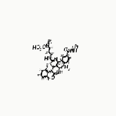 CCCNC(=O)c1ccc(C)c(-c2nc(NCCCN(CC)C(=O)O)nc3c2CNC(=O)N3c2c(F)cccc2F)c1